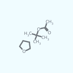 C1CCOC1.CC(=O)OC(C)(C)C